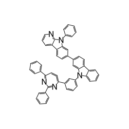 C1=CC(c2ccccc2)=NC(c2ccccc2)=NC=1c1cccc(-n2c3ccccc3c3ccc(-c4ccc5c6cccnc6n(-c6ccccc6)c5c4)cc32)c1